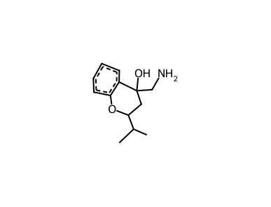 CC(C)C1CC(O)(CN)c2ccccc2O1